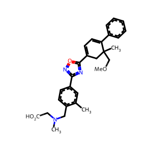 COCC1(C)CC(c2nc(-c3ccc(CN(C)CC(=O)O)c(C)c3)no2)=CC=C1c1ccccc1